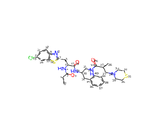 CCC(=O)N[C@@H](Cc1nc2ccc(Cl)cc2s1)C(=O)NC(CNC(=O)C(C)CN1CCSCC1)Cc1ccccc1